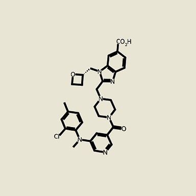 Cc1ccc(N(C)c2cncc(C(=O)N3CCN(Cc4nc5ccc(C(=O)O)cc5n4C[C@@H]4CCO4)CC3)c2)c(Cl)c1